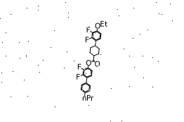 CCCc1ccc(-c2ccc(OC(=O)C3CCC(c4ccc(OCC)c(F)c4F)CC3)c(F)c2F)cc1